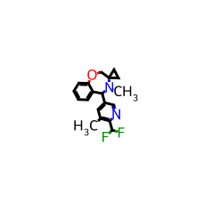 Cc1cc(C2c3ccccc3OCC3(CC3)N2C)cnc1C(F)F